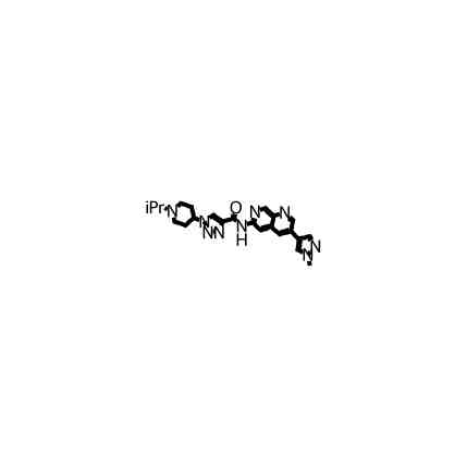 CC(C)N1CCC(n2cc(C(=O)Nc3cc4cc(-c5cnn(C)c5)cnc4cn3)nn2)CC1